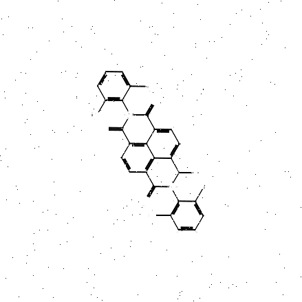 CC(C)c1cccc(C(C)C)c1N1C(=O)c2ccc3c4c(ccc(c24)C1=O)C(O)N(c1c(C(C)C)cccc1C(C)C)C3=O